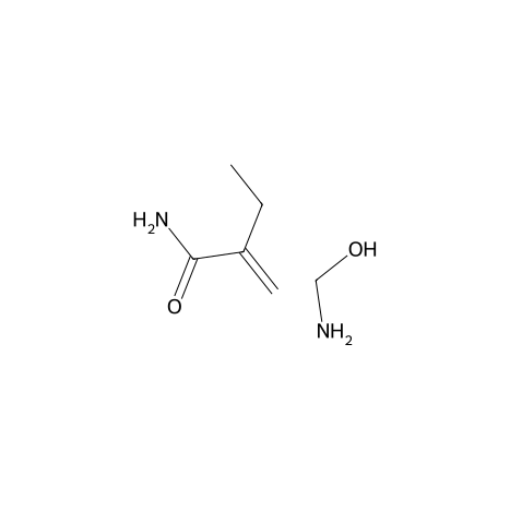 C=C(CC)C(N)=O.NCO